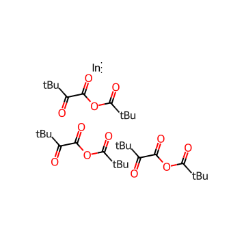 CC(C)(C)C(=O)OC(=O)C(=O)C(C)(C)C.CC(C)(C)C(=O)OC(=O)C(=O)C(C)(C)C.CC(C)(C)C(=O)OC(=O)C(=O)C(C)(C)C.[In]